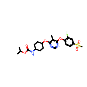 Cc1c(Oc2ccc(S(C)(=O)=O)cc2F)ncnc1OC1CCC(NC(=O)OC(C)C)CC1